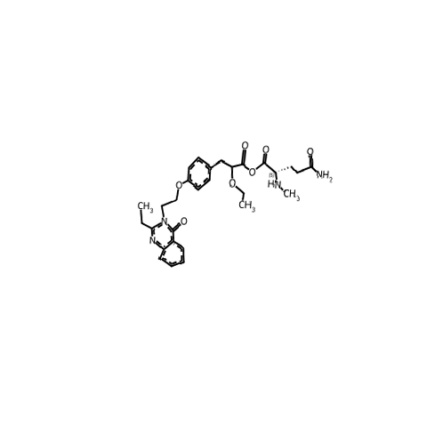 CCOC(Cc1ccc(OCCn2c(CC)nc3ccccc3c2=O)cc1)C(=O)OC(=O)[C@H](CCC(N)=O)NC